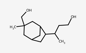 CC(CCO)C1CC2CC1CC(C)(CO)C2